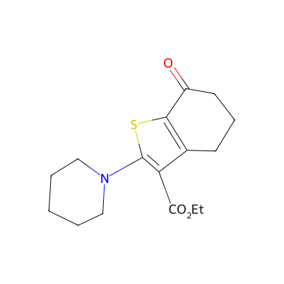 CCOC(=O)c1c(N2CCCCC2)sc2c1CCCC2=O